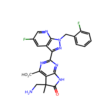 CC1(CN)C(=O)Nc2nc(-c3nn(Cc4ccccc4F)c4ncc(F)cc34)nc(C(=O)O)c21